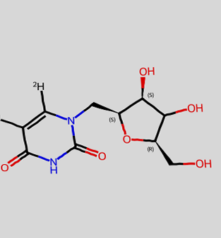 [2H]c1c([2H])n(C[C@@H]2O[C@H](CO)C(O)[C@@H]2O)c(=O)[nH]c1=O